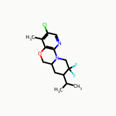 Cc1c(Cl)cnc2c1OCC1CC(C(C)C)C(F)(F)CN21